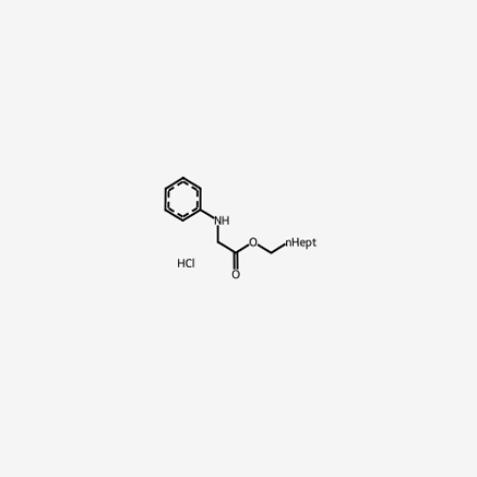 CCCCCCCCOC(=O)CNc1ccccc1.Cl